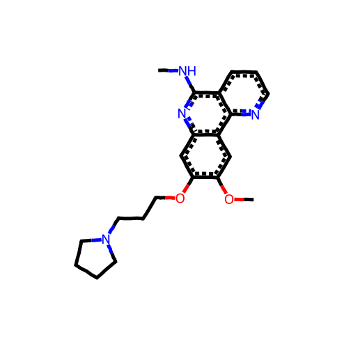 CNc1nc2cc(OCCCN3CCCC3)c(OC)cc2c2ncccc12